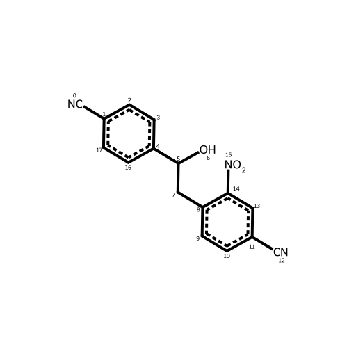 N#Cc1ccc(C(O)Cc2ccc(C#N)cc2[N+](=O)[O-])cc1